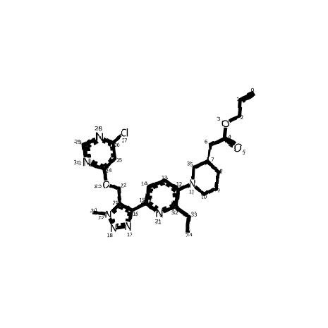 C=CCOC(=O)C[C@H]1CCCN(c2ccc(-c3nnn(C)c3COc3cc(Cl)ncn3)nc2CC)C1